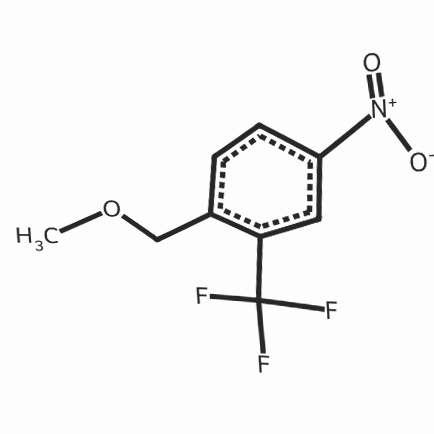 COCc1ccc([N+](=O)[O-])cc1C(F)(F)F